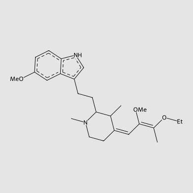 CCO/C(C)=C(/C=C1/CCN(C)C(CCc2c[nH]c3ccc(OC)cc23)C1C)OC